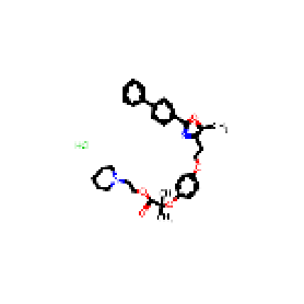 Cc1oc(-c2ccc(-c3ccccc3)cc2)nc1CCOc1ccc(OC(C)(C)C(=O)OCCN2CCCCC2)cc1.Cl